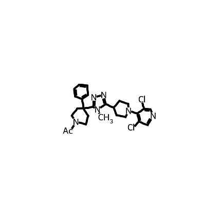 CC(=O)N1CCC(c2ccccc2)(c2nnc(C3CCN(c4c(Cl)cncc4Cl)CC3)n2C)CC1